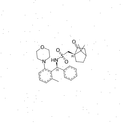 Cc1cccc(N2CCOCC2)c1[C@@H](NS(=O)(=O)C[C@@]12CCC(CC1=O)C2(C)C)c1ccccc1